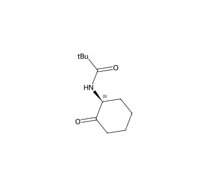 CC(C)(C)C(=O)N[C@H]1CCCCC1=O